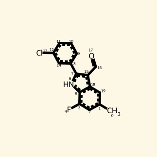 Cc1cc(F)c2[nH]c(-c3cccc(Cl)c3)c(C=O)c2c1